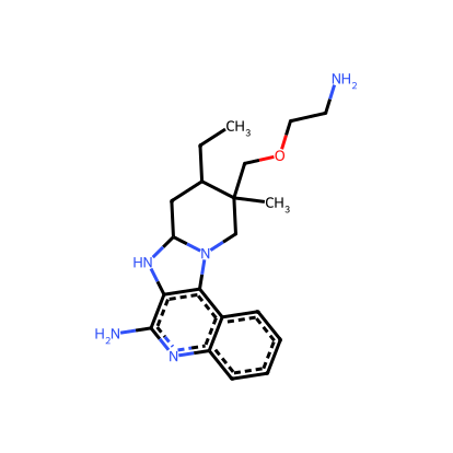 CCC1CC2Nc3c(N)nc4ccccc4c3N2CC1(C)COCCN